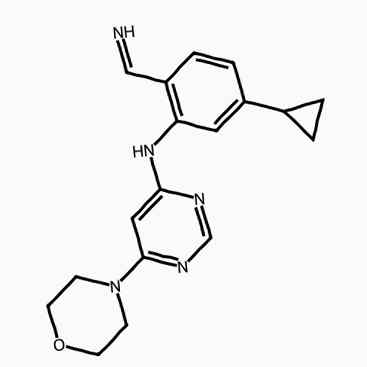 N=Cc1ccc(C2CC2)cc1Nc1cc(N2CCOCC2)ncn1